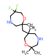 CC1(CC2(C)CNCC(F)(F)CO2)CNCC(C)(C)OC1